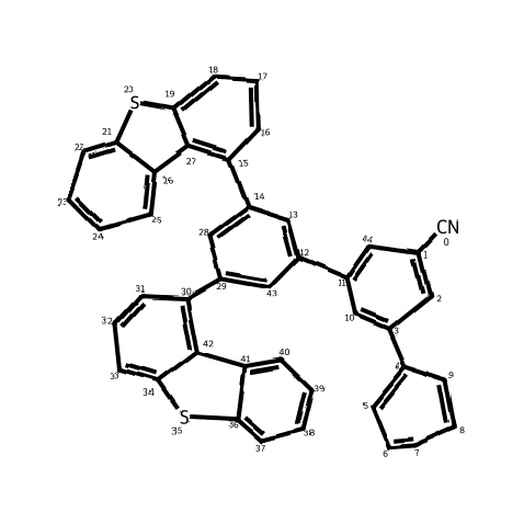 N#Cc1cc(-c2ccccc2)cc(-c2cc(-c3cccc4sc5ccccc5c34)cc(-c3cccc4sc5ccccc5c34)c2)c1